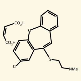 CNCCSC1=Cc2ccccc2Oc2ccc(Cl)cc21.O=C(O)/C=C\C(=O)O